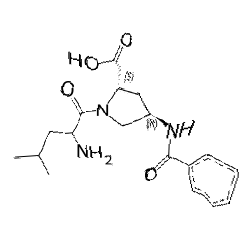 CC(C)CC(N)C(=O)N1C[C@H](NC(=O)c2ccccc2)C[C@H]1C(=O)O